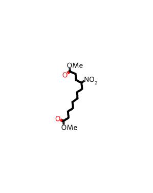 COC(=O)CCCCCCCC(CCC(=O)OC)[N+](=O)[O-]